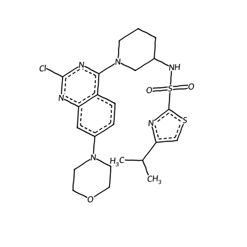 CC(C)c1csc(S(=O)(=O)NC2CCCN(c3nc(Cl)nc4cc(N5CCOCC5)ccc34)C2)n1